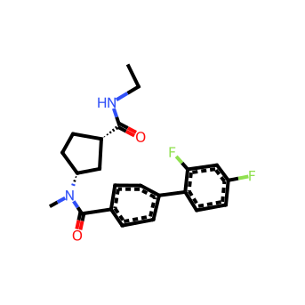 CCNC(=O)[C@H]1CC[C@@H](N(C)C(=O)c2ccc(-c3ccc(F)cc3F)cc2)C1